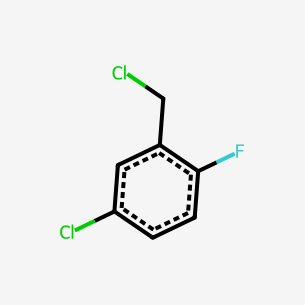 Fc1ccc(Cl)cc1CCl